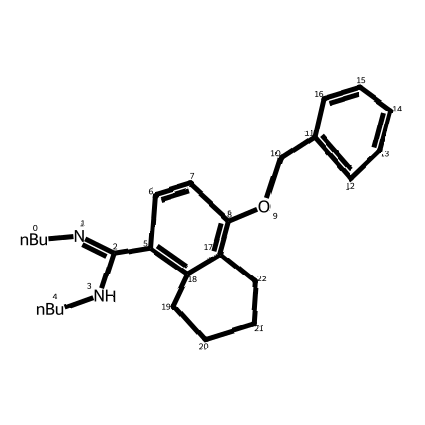 CCCCN=C(NCCCC)c1ccc(OCc2ccccc2)c2c1CCCC2